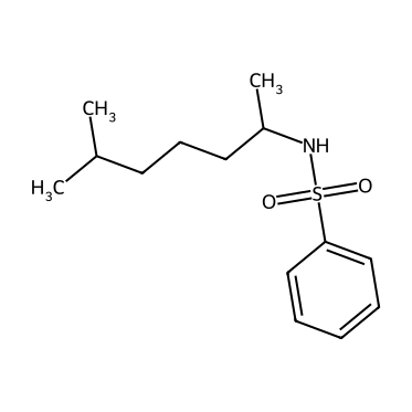 CC(C)CCCC(C)NS(=O)(=O)c1ccccc1